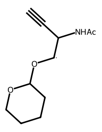 C#CC([CH]OC1CCCCO1)NC(C)=O